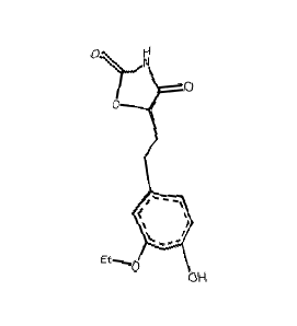 CCOc1cc(CCC2OC(=O)NC2=O)ccc1O